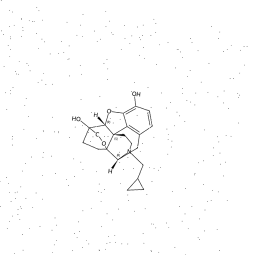 Oc1ccc2c3c1O[C@H]1C4(O)CCC5(OC4)[C@@H](C2)N(CC2CC2)CC[C@]315